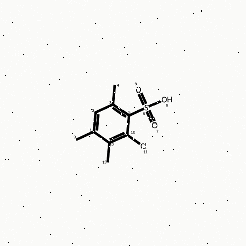 Cc1cc(C)c(S(=O)(=O)O)c(Cl)c1C